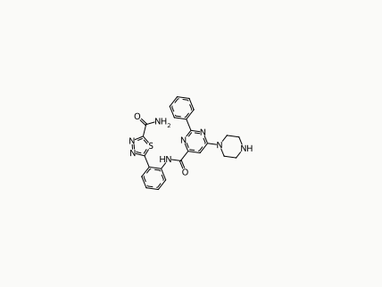 NC(=O)c1nnc(-c2ccccc2NC(=O)c2cc(N3CCNCC3)nc(-c3ccccc3)n2)s1